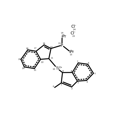 CC1=Cc2ccccc2[CH]1[Ti+2][CH]1C(P(C(C)C)C(C)C)=Cc2ccccc21.[Cl-].[Cl-]